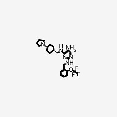 Nc1cnc(NCc2ccccc2OC(F)(F)F)nc1NC[C@H]1CC[C@H](N2CCCC2)CC1